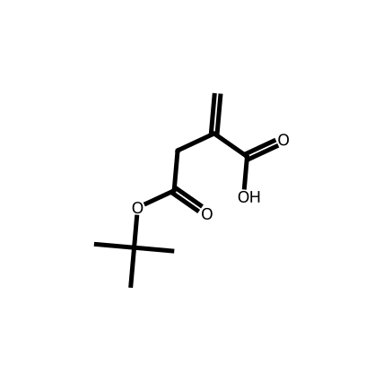 C=C(CC(=O)OC(C)(C)C)C(=O)O